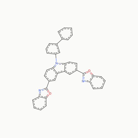 c1ccc(-c2cccc(-n3c4ccc(-c5nc6ccccc6o5)cc4c4cc(-c5nc6ccccc6o5)ccc43)c2)cc1